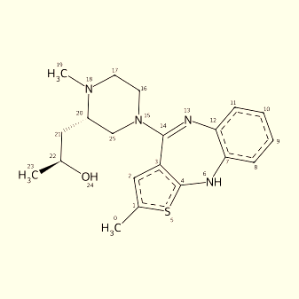 Cc1cc2c(s1)Nc1ccccc1N=C2N1CCN(C)[C@@H](C[C@H](C)O)C1